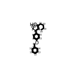 NC[C@H](c1ccc(OCc2ccccc2)cc1)[C@H]1CCCC[C@H]1O